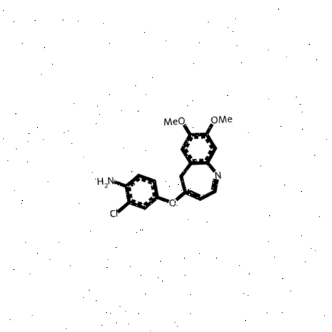 COc1cc2c(cc1OC)N=CC=C(Oc1ccc(N)c(Cl)c1)C2